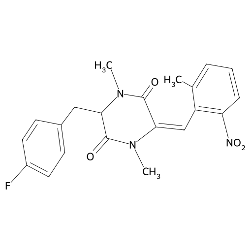 Cc1cccc([N+](=O)[O-])c1C=C1C(=O)N(C)C(Cc2ccc(F)cc2)C(=O)N1C